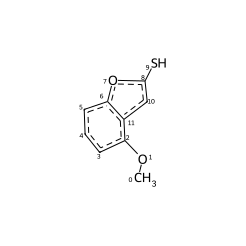 COc1cccc2oc(S)cc12